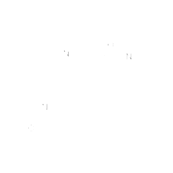 O=C(Cc1ccccn1)c1ccnc(-c2ccc(N3CCOCC3)cc2)c1